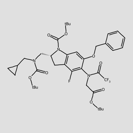 CC(C)(C)OC(=O)CN(C(=O)C(F)(F)F)c1c(OCc2ccccc2)cc2c(c1F)C[C@H](CN(CC1CC1)C(=O)OC(C)(C)C)N2C(=O)OC(C)(C)C